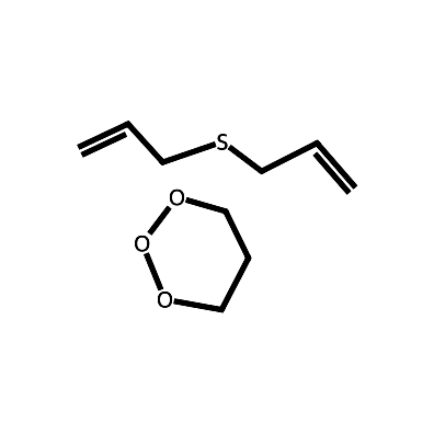 C1COOOC1.C=CCSCC=C